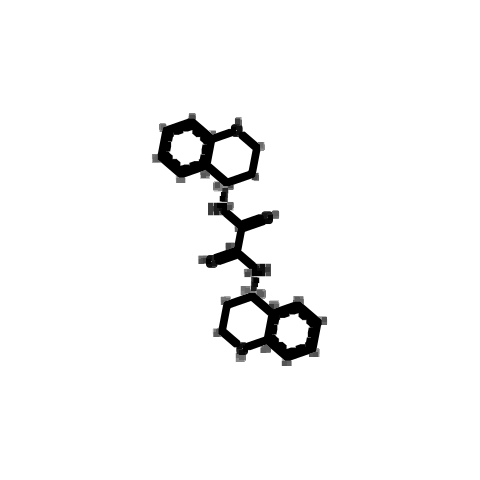 O=C(N[C@H]1CCOc2ccccc21)C(=O)N[C@H]1CCOc2ccccc21